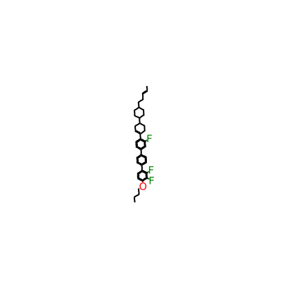 C/C=C/CCC1CCC(C2CC=C(c3ccc(-c4ccc(-c5ccc(OCCCC)c(F)c5F)cc4)cc3F)CC2)CC1